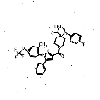 Cc1cc(OC(F)(F)F)ccc1-n1nc(C(=O)N2CCC3(CC2)C(=O)NCN3c2ccc(F)cc2)cc1-c1cccnc1